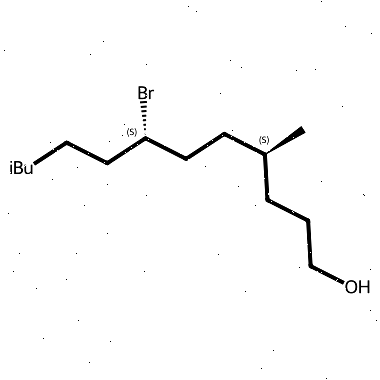 CCC(C)CC[C@H](Br)CC[C@@H](C)CCCO